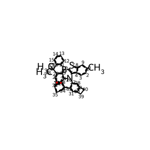 Cc1ccc2c3c(sc2c1)B1c2ccccc2C(C)(C)c2cccc(c21)N3c1cc2c(cc1-c1ccccc1)CC2